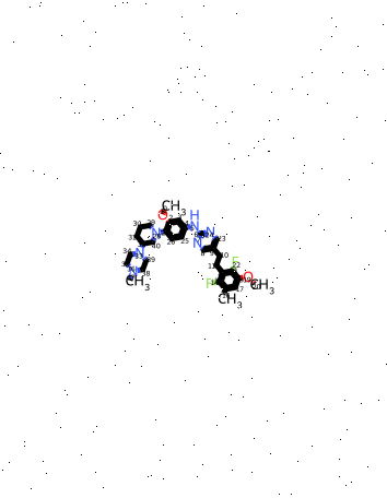 COc1cc(Nc2ncc(CCc3c(F)c(C)cc(OC)c3F)cn2)ccc1N1CCCC(N2CCN(C)CC2)C1